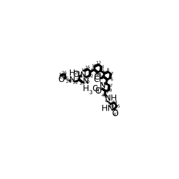 COc1nc(-c2cccc(-c3cccc(-c4ccn5c(=O)c(CNC[C@H]6CCO6)cnc5c4)c3Cl)c2Cl)ccc1CNC[C@H]1CCC(=O)N1